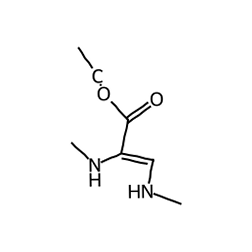 CCOC(=O)/C(=C/NC)NC